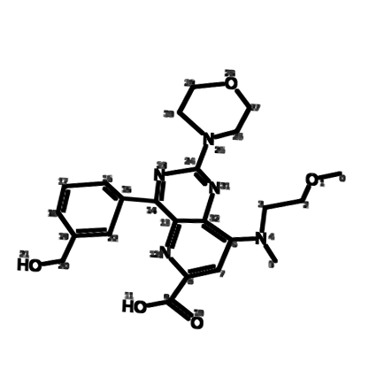 COCCN(C)c1cc(C(=O)O)nc2c(-c3cccc(CO)c3)nc(N3CCOCC3)nc12